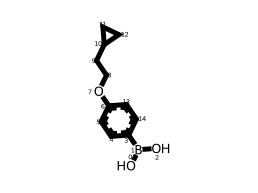 OB(O)c1ccc(OCCC2CC2)cc1